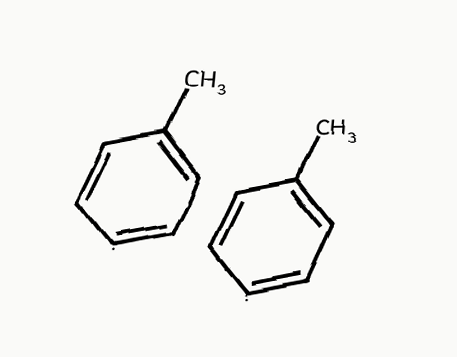 Cc1cc[c]cc1.Cc1cc[c]cc1